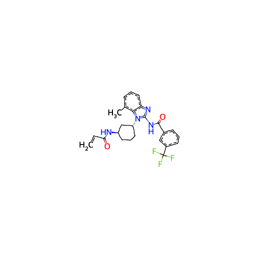 C=CC(=O)N[C@@H]1CCC[C@@H](n2c(NC(=O)c3cccc(C(F)(F)F)c3)nc3cccc(C)c32)C1